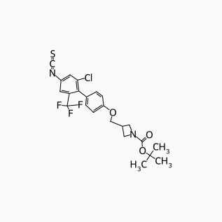 CC(C)(C)OC(=O)N1CC(COc2ccc(-c3c(Cl)cc(N=C=S)cc3C(F)(F)F)cc2)C1